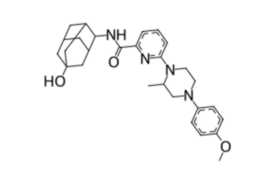 COc1ccc(N2CCN(c3cccc(C(=O)NC4C5CC6CC4CC(O)(C6)C5)n3)C(C)C2)cc1